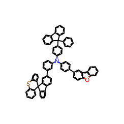 c1ccc(C2(c3ccc(N(c4ccc(-c5ccc6oc7ccccc7c6c5)cc4)c4cccc(-c5ccc6c(c5)C5(c7ccccc7Sc7ccccc75)c5ccccc5-6)c4)cc3)c3ccccc3-c3ccccc32)cc1